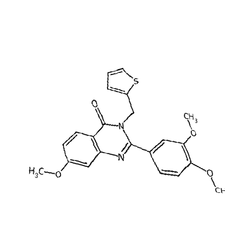 COc1ccc2c(=O)n(Cc3cccs3)c(-c3ccc(OC)c(OC)c3)nc2c1